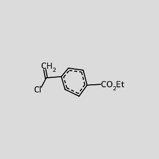 C=C(Cl)c1ccc(C(=O)OCC)cc1